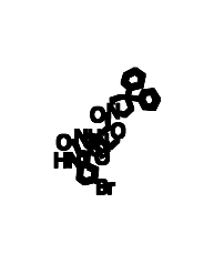 NC(=O)c1[nH]c2ccc(Br)cc2c1S(=O)(=O)N1CCOC(C(=O)N2CCC(c3ccccc3)(c3ccccc3)CC2)C1